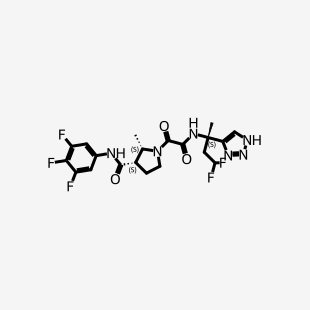 C[C@H]1[C@@H](C(=O)Nc2cc(F)c(F)c(F)c2)CCN1C(=O)C(=O)N[C@@](C)(CC(F)F)c1c[nH]nn1